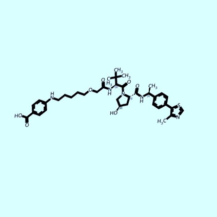 Cc1ncsc1-c1ccc([C@H](C)NC(=O)[C@@H]2C[C@@H](O)CN2C(=O)[C@@H](NC(=O)COCCCCCNc2ccc(C(=O)O)cc2)C(C)(C)C)cc1